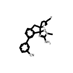 CN1OC2(N=C1N)c1cc(-c3cccc(C#N)c3)ccc1CC21CC=C(F)CC1